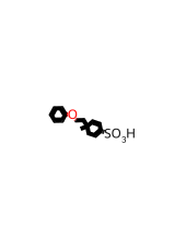 CC1(CCOc2ccccc2)C=CC(S(=O)(=O)O)=CC1